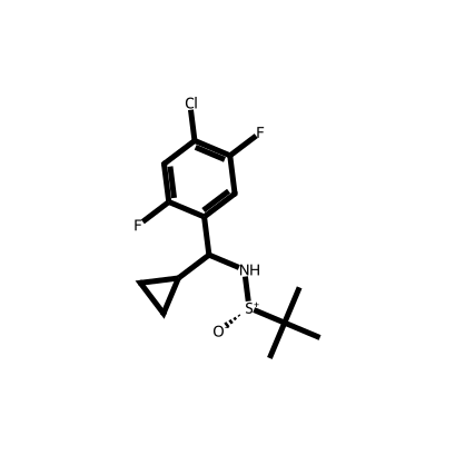 CC(C)(C)[S@+]([O-])NC(c1cc(F)c(Cl)cc1F)C1CC1